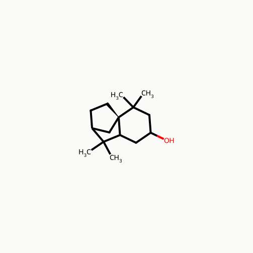 CC1(C)C2CC[C@]3(C2)C1CC(O)CC3(C)C